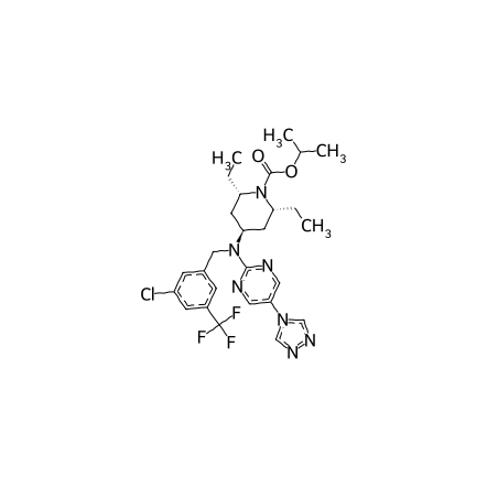 CC[C@@H]1C[C@@H](N(Cc2cc(Cl)cc(C(F)(F)F)c2)c2ncc(-n3cnnc3)cn2)C[C@H](CC)N1C(=O)OC(C)C